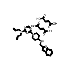 C=CCN(CC=C)c1ncnc(N2CCC(NCc3cc4ccccc4s3)CC2)n1.O=C(O)C=CC(=O)O.O=C(O)C=CC(=O)O